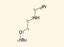 CCCCOCCNCC(C)C